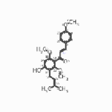 COc1ccc(/C=C/C(=O)c2c(OC)cc(O)c(CC=C(C)C)c2OC)cc1